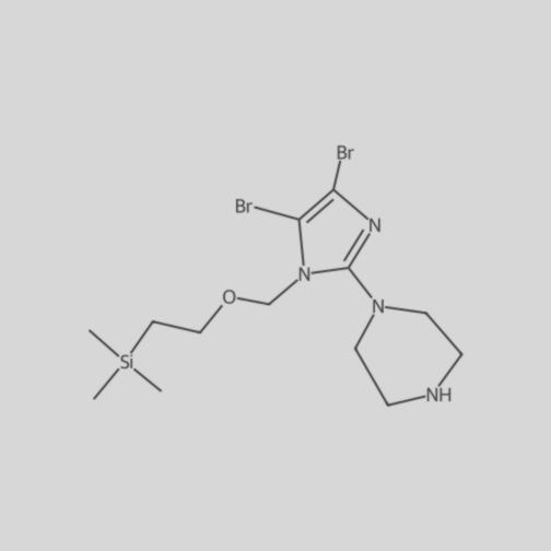 C[Si](C)(C)CCOCn1c(N2CCNCC2)nc(Br)c1Br